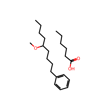 CCCCC(CCCCc1ccccc1)OC.CCCCCC(=O)O